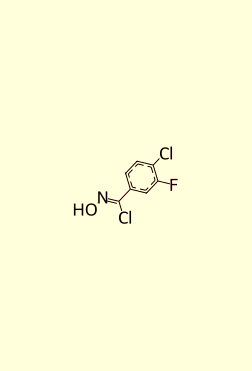 O/N=C(\Cl)c1ccc(Cl)c(F)c1